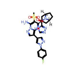 CS(=O)(=O)c1c([C@H]2C[C@H]3CC[C@@H](C2)N3C(=O)c2nnc[nH]2)nc2c(-c3cnn(-c4ccc(F)cc4)c3)cnn2c1N